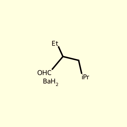 CCC(C=O)CC(C)C.[BaH2]